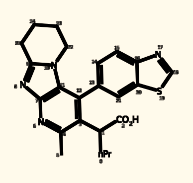 CCCC(C(=O)O)c1c(C)nc2nc3n(c2c1-c1ccc2ncsc2c1)CCCC3